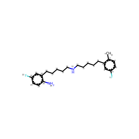 Cc1ccc(F)cc1CCCCCNCCCCCc1cc(F)ccc1N